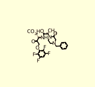 C[C@@H](C(=O)N[C@@H](CC(=O)O)C(=O)COc1c(F)c(F)cc(F)c1F)N1CCN(Cc2ccccc2)CC1=O